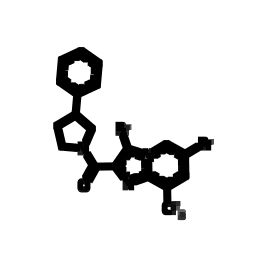 O=C(c1nc2c(C(F)(F)F)cc(Br)cn2c1Br)N1CCC(c2ccccc2)C1